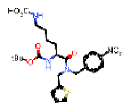 CC(C)(C)OC(=O)N[C@@H](CCCCNC(=O)O)C(=O)N(Cc1ccc([N+](=O)[O-])cc1)Cc1cccs1